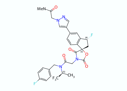 CNC(=O)Cn1cc(-c2ccc3c(c2)[C@H](F)C[C@]32OC(=O)N(CC(=O)N(Cc3ccc(F)cc3)[C@@H](C)C(F)(F)F)C2=O)cn1